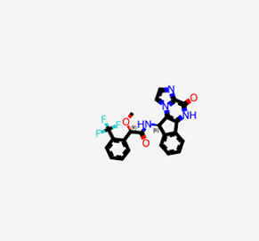 CO[C@@H](C(=O)N[C@@H]1c2ccccc2-c2[nH]c(=O)c3nccn3c21)c1ccccc1C(F)(F)F